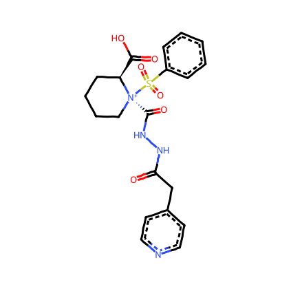 O=C(Cc1ccncc1)NNC(=O)[N@+]1(S(=O)(=O)c2ccccc2)CCCC[C@H]1C(=O)O